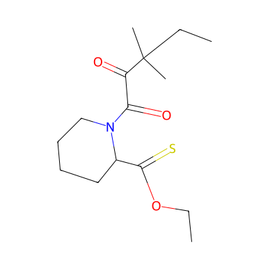 CCOC(=S)C1CCCCN1C(=O)C(=O)C(C)(C)CC